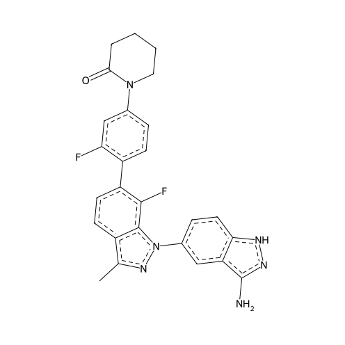 Cc1nn(-c2ccc3[nH]nc(N)c3c2)c2c(F)c(-c3ccc(N4CCCCC4=O)cc3F)ccc12